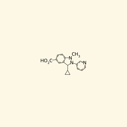 CN1c2ccc(C(=O)O)cc2C(C2CC2)N1c1cccnc1